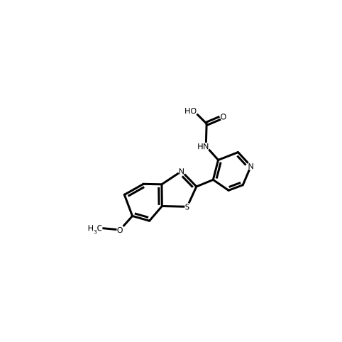 COc1ccc2nc(-c3ccncc3NC(=O)O)sc2c1